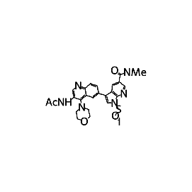 CNC(=O)c1cnc2c(c1)c(-c1ccc3ncc(NC(C)=O)c(N4CCOCC4)c3c1)cn2SOI